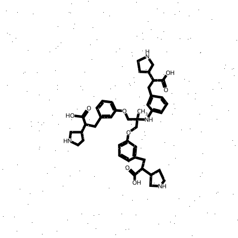 CC(COc1cccc(CC(C(=O)O)C2CCNC2)c1)(COc1cccc(CC(C(=O)O)C2CCNC2)c1)Nc1cccc(CC(C(=O)O)C2CCNC2)c1